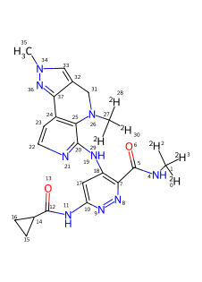 [2H]C([2H])([2H])NC(=O)c1nnc(NC(=O)C2CC2)cc1Nc1nccc2c1N(C([2H])([2H])[2H])Cc1cn(C)nc1-2